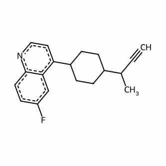 C#CC(C)C1CCC(c2ccnc3ccc(F)cc23)CC1